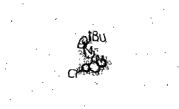 CC(C)(C)CC(=O)N1CCC(C2c3ccc(Cl)cc3CCc3cccnc32)CC1